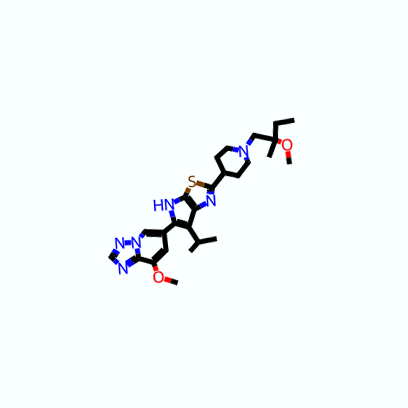 CCC(C)(CN1CCC(c2nc3c(C(C)C)c(-c4cc(OC)c5ncnn5c4)[nH]c3s2)CC1)OC